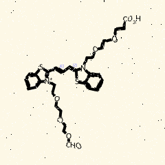 O=COCCOCCOCC[n+]1c(/C=C/C=C2\Sc3ccccc3N2CCOCCOCCC(=O)O)sc2ccccc21